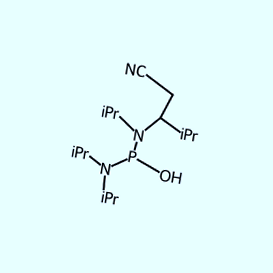 CC(C)C(CC#N)N(C(C)C)P(O)N(C(C)C)C(C)C